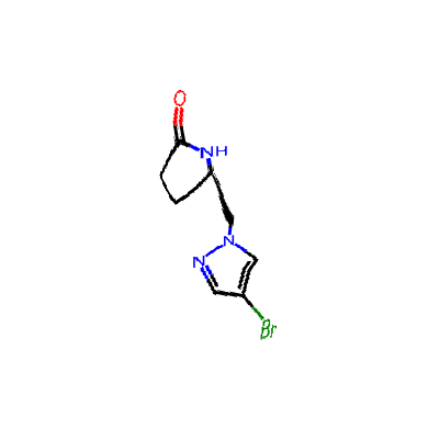 O=C1CC[C@H](Cn2cc(Br)cn2)N1